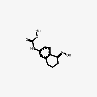 CC(C)(C)OC(=O)Nc1ccc2c(c1)CCCC2=NO